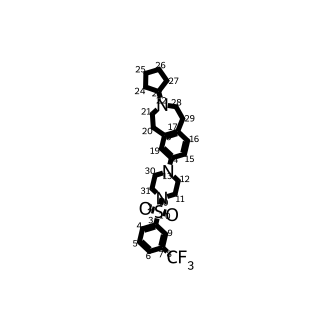 O=S(=O)(c1cccc(C(F)(F)F)c1)N1CCN(c2ccc3c(c2)CCN(C2CCCC2)CC3)CC1